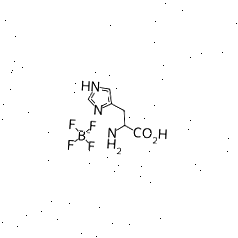 F[B-](F)(F)F.NC(Cc1c[nH]cn1)C(=O)O